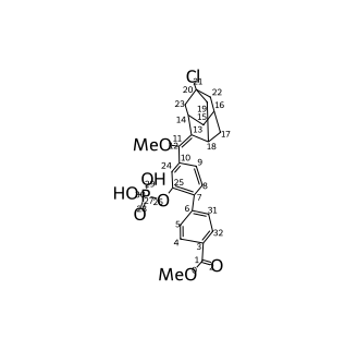 COC(=O)c1ccc(-c2ccc(C(OC)=C3C4CC5CC3CC(Cl)(C5)C4)cc2OP(=O)(O)O)cc1